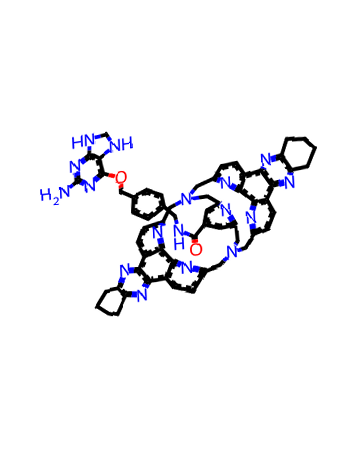 Nc1nc2c(c(OCc3ccc(CNC(=O)c4cc5nc(c4)CN4Cc6ccc7c(n6)c6nc(ccc6c6nc8c(nc76)CCCC8)CN(C5)Cc5ccc6c(n5)c5nc(ccc5c5nc7c(nc65)CCCC7)C4)cc3)n1)NCN2